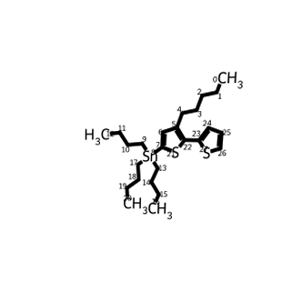 CCCCCc1c[c]([Sn]([CH2]CCC)([CH2]CCC)[CH2]CCC)sc1-c1cccs1